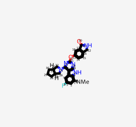 CNc1cc(F)cc2c1[nH]c1nc(Oc3ccc4c(c3)C(=O)NC4)nc(N3C[C@H]4CCC[C@H]4C3)c12